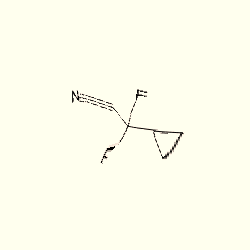 N#CC(F)(F)C1CC1